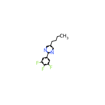 CCCCc1cnc(-c2cc(F)c(F)c(F)c2)nc1